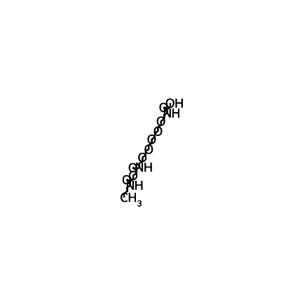 CCCCNC(=O)COCC(=O)NCCOCCOCCOCCOCCOCCNC(=O)CO